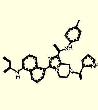 C=CC(=C)Nc1cccc2c(-c3nc(C(=C)Nc4ccc(C)cc4)c4n3CCN(C(=C)c3ccc[nH]3)C4)cccc12